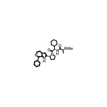 CN[C@@H](C)C(=O)N[C@H](C(=O)N1CCC[C@H]1c1cc2ccnc(-c3ccccc3)c2[nH]1)C1CCCCC1